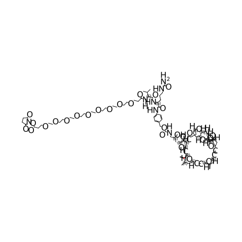 C=C1C[C@@H]2CCC34C[C@H]5O[C@H]6[C@@H](O3)[C@H]3O[C@H](CC[C@@H]3O[C@H]6[C@H]5O4)CC(=O)C[C@@H]3[C@@H](OC)[C@@H](C[C@H](O)CNC(=O)OCc4ccc(NC(=O)[C@H](CCCNC(N)=O)NC(=O)[C@@H](NC(=O)CCOCCOCCOCCOCCOCCOCCOCCOCCOCCC(=O)ON5C(=O)CCC5=O)C(C)C)cc4)O[C@H]3C[C@H]3O[C@@H](CC[C@@H]1O2)C[C@@H](C)C3=C